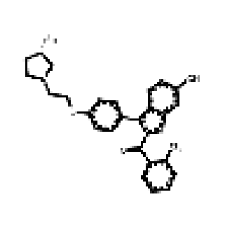 C[C@H]1CCN(CCOc2ccc(-c3c(C(=O)c4ccccc4C(F)(F)F)sc4cc(O)ccc34)cc2)C1